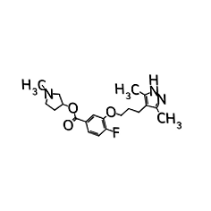 Cc1n[nH]c(C)c1CCCOc1cc(C(=O)OC2CCN(C)C2)ccc1F